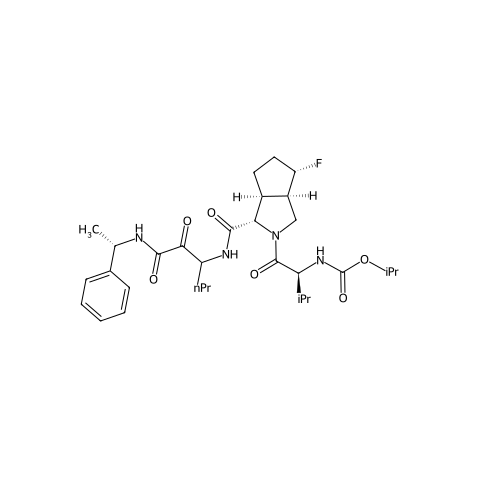 CCCC(NC(=O)[C@@H]1[C@H]2CC[C@H](F)[C@H]2CN1C(=O)[C@@H](NC(=O)OC(C)C)C(C)C)C(=O)C(=O)N[C@@H](C)c1ccccc1